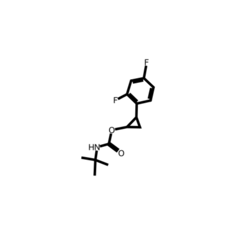 CC(C)(C)NC(=O)OC1CC1c1ccc(F)cc1F